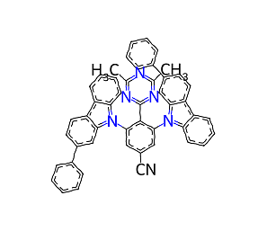 Cc1nc(C)nc(-c2c(-n3c4ccccc4c4ccc(-c5ccccc5)cc43)cc(C#N)cc2-n2c3ccccc3c3ccc(-c4ccccc4)cc32)n1